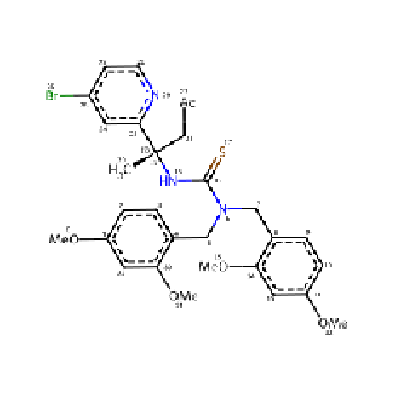 COc1ccc(CN(Cc2ccc(OC)cc2OC)C(=S)N[C@@](C)(CC(C)=O)c2cc(Br)ccn2)c(OC)c1